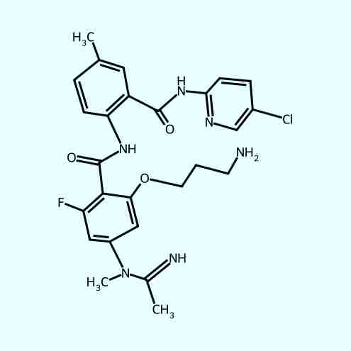 CC(=N)N(C)c1cc(F)c(C(=O)Nc2ccc(C)cc2C(=O)Nc2ccc(Cl)cn2)c(OCCCN)c1